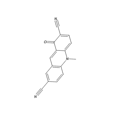 Cn1c2ccc(C#N)c(=O)c-2cc2cc(C#N)ccc21